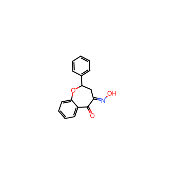 O=C1/C(=N/O)CC(c2ccccc2)Oc2ccccc21